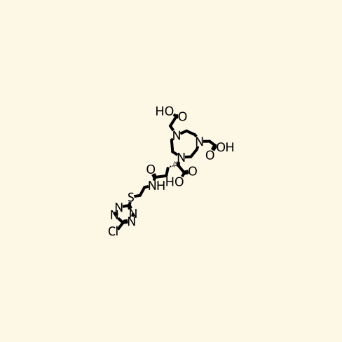 O=C(O)CN1CCN(CC(=O)O)CCN([C@@H](CCC(=O)NCCSc2nnc(Cl)nn2)C(=O)O)CC1